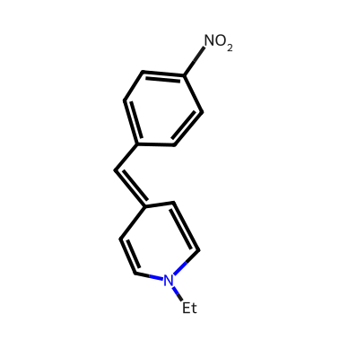 CCN1C=CC(=Cc2ccc([N+](=O)[O-])cc2)C=C1